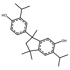 CC(C)c1cc(C2(C)CC(C)(C)c3cc(C(C)C)c(O)cc32)ccc1O